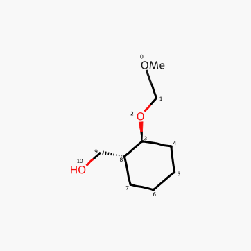 COCO[C@H]1CCCC[C@@H]1CO